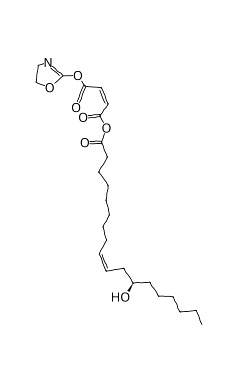 CCCCCC[C@@H](O)C/C=C\CCCCCCCC(=O)OC(=O)/C=C\C(=O)OC1=NCCO1